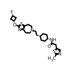 Cc1ncc(CC(=O)N[C@H]2CC[C@H](CCN3CCc4nc(O[C@H]5C[C@@H](F)C5)sc4CC3)CC2)s1